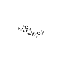 NC(=O)c1c(F)ccc(OCCC(O)c2nc(-c3ccc(C(F)(F)F)cc3)c(Br)o2)c1F